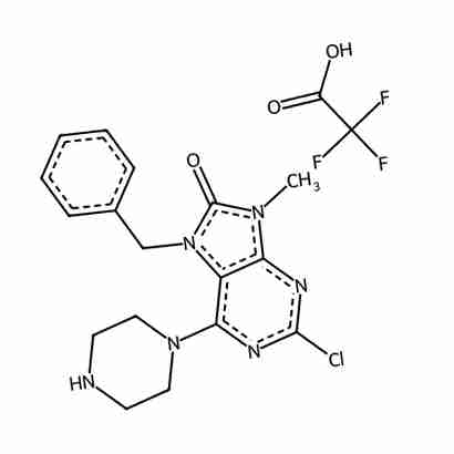 Cn1c(=O)n(Cc2ccccc2)c2c(N3CCNCC3)nc(Cl)nc21.O=C(O)C(F)(F)F